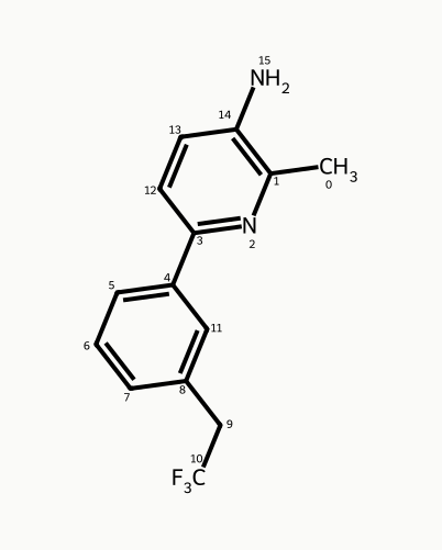 Cc1nc(-c2cccc(CC(F)(F)F)c2)ccc1N